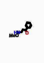 CONCCC(=O)c1ccccc1